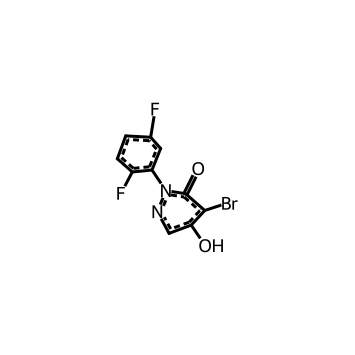 O=c1c(Br)c(O)cnn1-c1cc(F)ccc1F